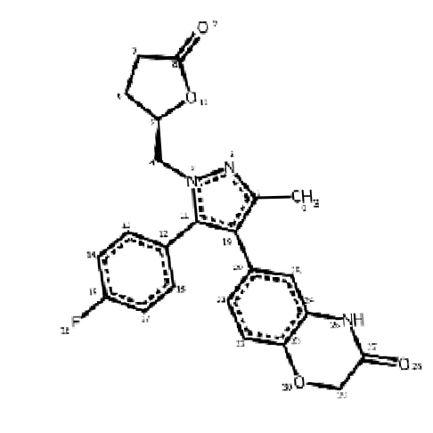 Cc1nn(C[C@H]2CCC(=O)O2)c(-c2ccc(F)cc2)c1-c1ccc2c(c1)NC(=O)CO2